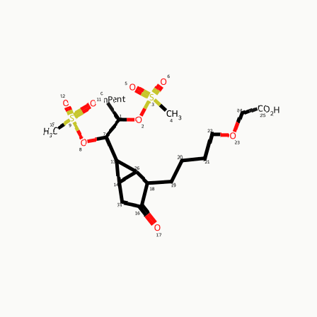 CCCCCC(OS(C)(=O)=O)C(OS(C)(=O)=O)C1C2CC(=O)C(CCCCOCC(=O)O)C21